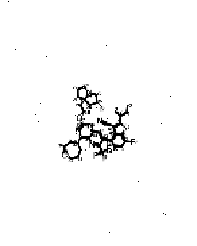 CCC(C)c1sc2c(F)ccc(-c3cc4nc(OCC[C@@]56CCCN5C[C@H](C)C6)nc(N5CCCOCC5)c4nc3C(F)(F)F)c2c1C#N